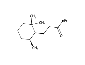 CCCC(=O)CC[C@H]1[C@@H](C)CCCC1(C)C